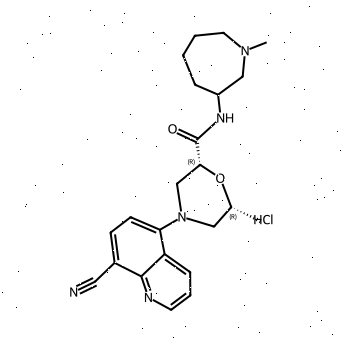 C[C@@H]1CN(c2ccc(C#N)c3ncccc23)C[C@H](C(=O)NC2CCCCN(C)C2)O1.Cl